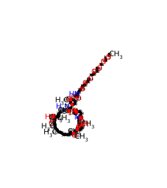 CCOCCOCCOCCOCCOCCOCCOCCNC(=O)O[C@@H]1CC[C@@H](C[C@@H](N)[C@@H]2CC[C@H](C)/C=C(\C)[C@@H](O)[C@@H](OC)C(=O)[C@H](C)C[C@H](C)/C=C/C=C/C=C(\C)[C@@H](OC)C[C@@H]3CC[C@@H](C)[C@@](O)(O3)C(=O)C(=O)N3CCCC[C@H]3C(=O)O2)C[C@H]1OC